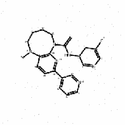 C=C(NC1C=NC=C(F)C1)N1CCCCN(C)c2ccc(-c3cccnc3)nc21